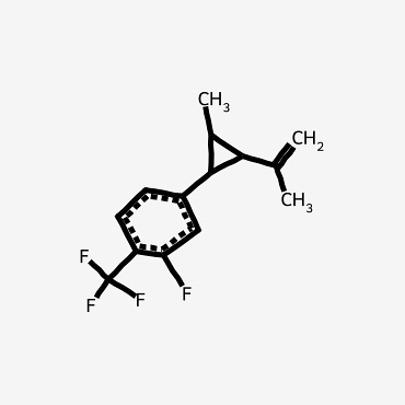 C=C(C)C1C(C)C1c1ccc(C(F)(F)F)c(F)c1